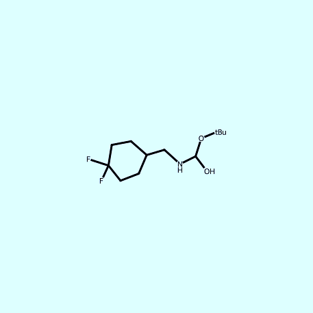 CC(C)(C)OC(O)NCC1CCC(F)(F)CC1